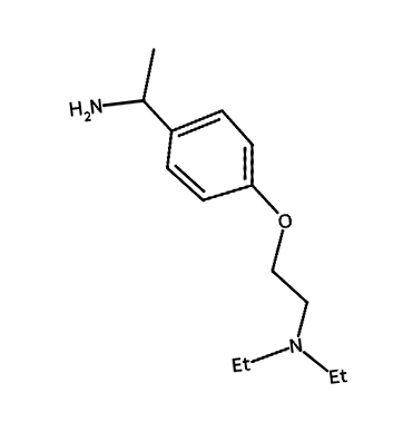 CCN(CC)CCOc1ccc(C(C)N)cc1